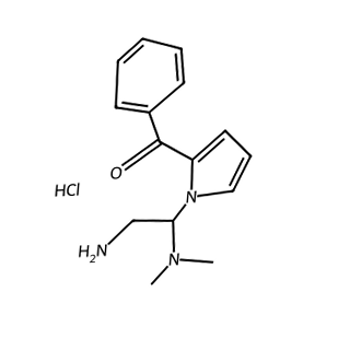 CN(C)C(CN)n1cccc1C(=O)c1ccccc1.Cl